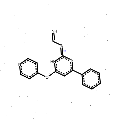 N=C/N=c1/nc(-c2ccccc2)cc(Oc2ccncc2)[nH]1